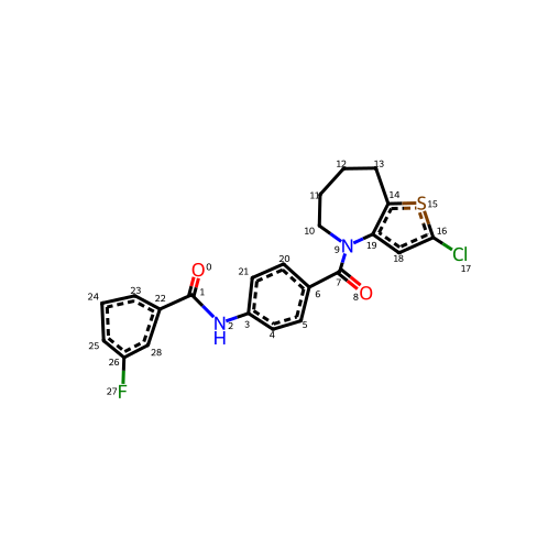 O=C(Nc1ccc(C(=O)N2CCCCc3sc(Cl)cc32)cc1)c1cccc(F)c1